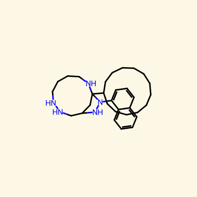 c1ccc2c(N3NC4CNNCCCCNC3(C3CCCCCCCCCCCC3)C4)cccc2c1